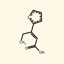 CCC(=CC(=O)O)c1cccs1